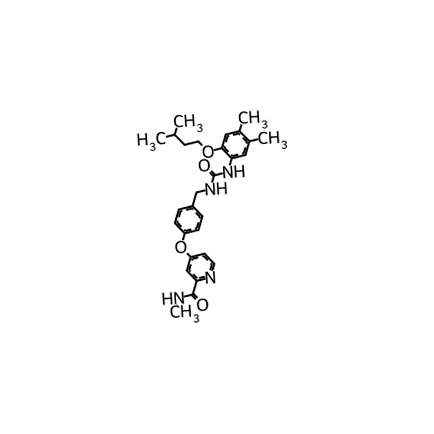 CNC(=O)c1cc(Oc2ccc(CNC(=O)Nc3cc(C)c(C)cc3OCCC(C)C)cc2)ccn1